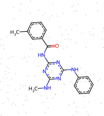 CNc1nc(NC(=O)c2cccc(C)c2)nc(Nc2ccccc2)n1